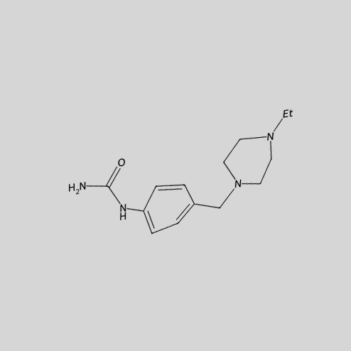 CCN1CCN(Cc2ccc(NC(N)=O)cc2)CC1